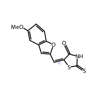 COc1ccc2oc(/C=C3/SC(=S)NC3=O)cc2c1